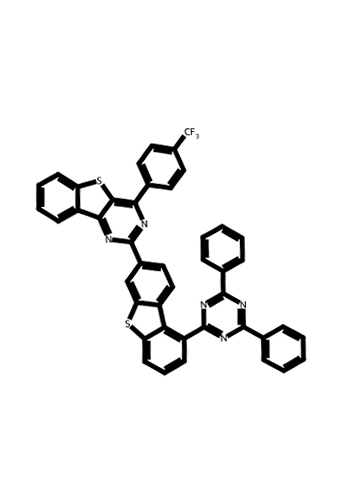 FC(F)(F)c1ccc(-c2nc(-c3ccc4c(c3)sc3cccc(-c5nc(-c6ccccc6)nc(-c6ccccc6)n5)c34)nc3c2sc2ccccc23)cc1